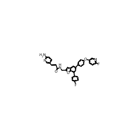 Nc1ccc(C=CC(=O)NCc2cc3cc(-c4ccc(Oc5ccc(F)nc5)cc4)cc(-c4ccc(F)cc4)c3o2)cn1